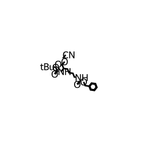 CC(C)(C)OC(=O)NC(CCCCNC(=O)OCc1ccccc1)C(=O)OCC#N